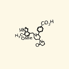 COc1cc(C)c2[nH]ccc2c1CN1CC[C@@H](N2CCCC2=O)C[C@@H]1c1ccc(C(=O)O)cc1